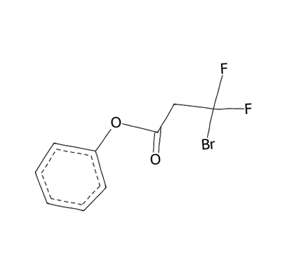 O=C(CC(F)(F)Br)Oc1ccccc1